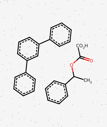 CC(OC(=O)C(=O)O)c1ccccc1.c1ccc(-c2cccc(-c3ccccc3)c2)cc1